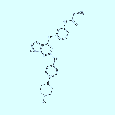 C=CC(=O)Nc1cccc(Oc2nc(Nc3ccc(N4CCN(CCC)CC4)cc3)nc3[nH]ccc23)c1